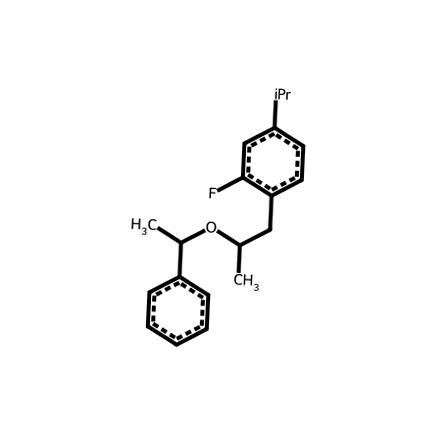 CC(Cc1ccc(C(C)C)cc1F)OC(C)c1ccccc1